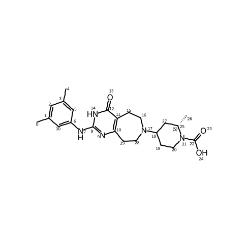 Cc1cc(C)cc(Nc2nc3c(c(=O)[nH]2)CCN(C2CCN(C(=O)O)[C@@H](C)C2)CC3)c1